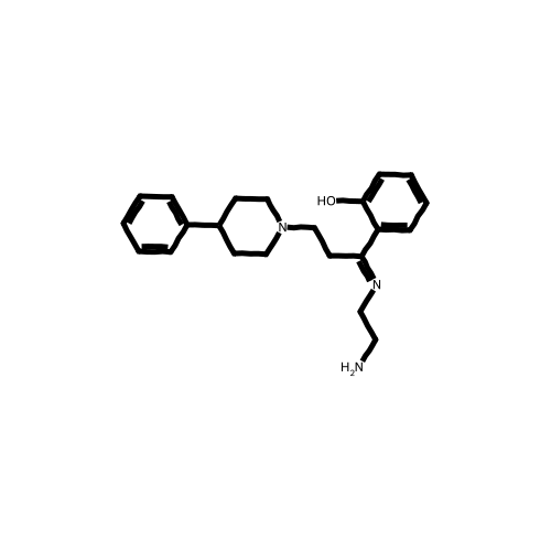 NCC/N=C(\CCN1CCC(c2ccccc2)CC1)c1ccccc1O